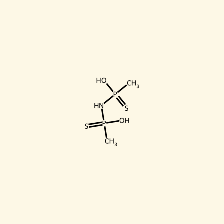 CP(O)(=S)NP(C)(O)=S